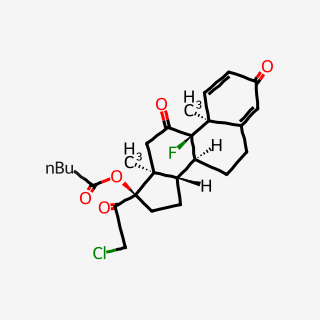 CCCCC(=O)O[C@]1(C(=O)CCl)CC[C@H]2[C@@H]3CCC4=CC(=O)C=C[C@]4(C)[C@@]3(F)C(=O)C[C@@]21C